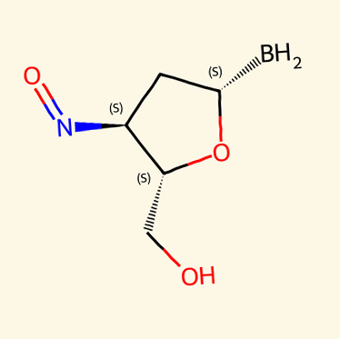 B[C@H]1C[C@H](N=O)[C@@H](CO)O1